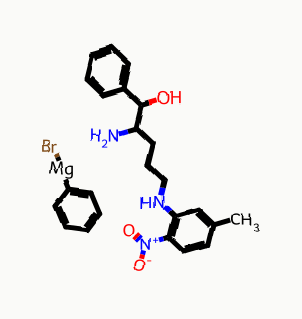 Cc1ccc([N+](=O)[O-])c(NCCCC(N)C(O)c2ccccc2)c1.[Br][Mg][c]1ccccc1